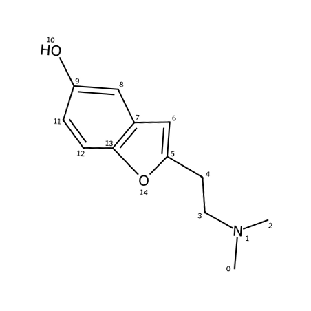 CN(C)CCc1cc2cc(O)ccc2o1